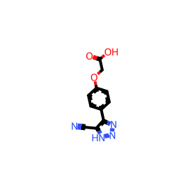 N#Cc1[nH]nnc1-c1ccc(OCC(=O)O)cc1